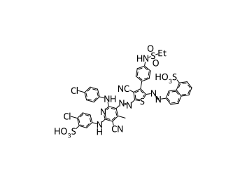 CCS(=O)(=O)Nc1ccc(-c2c(N=Nc3ccc4cccc(S(=O)(=O)O)c4c3)sc(N=Nc3c(Nc4ccc(Cl)cc4)nc(Nc4ccc(Cl)c(S(=O)(=O)O)c4)c(C#N)c3C)c2C#N)cc1